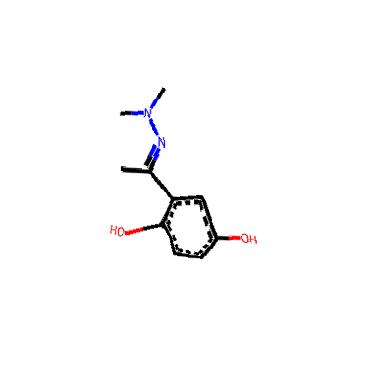 C/C(=N\N(C)C)c1cc(O)ccc1O